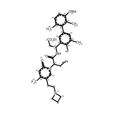 CCOC(=O)C[C@H](NC(=O)C(CC(C)C)n1cc(CCN2CCC2)c(C(F)(F)F)cc1=O)c1cc(-c2c(C)ccc(OC)c2C)cc(C)c1F